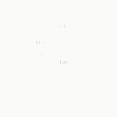 O=C(Cc1cccs1)NC(B(O)O)C1C=CC=CC1